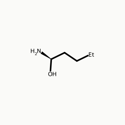 CCCC[C@H](N)O